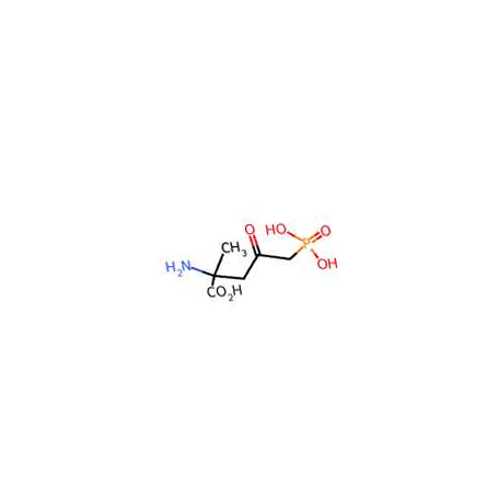 CC(N)(CC(=O)CP(=O)(O)O)C(=O)O